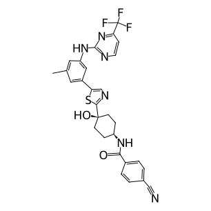 Cc1cc(Nc2nccc(C(F)(F)F)n2)cc(-c2cnc([C@]3(O)CC[C@@H](NC(=O)c4ccc(C#N)cc4)CC3)s2)c1